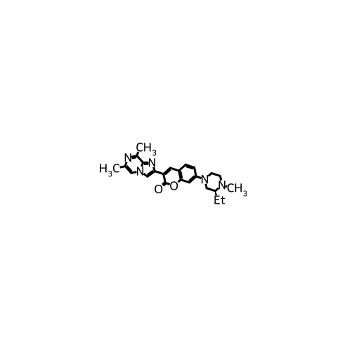 CC[C@H]1CN(c2ccc3cc(-c4cn5cc(C)nc(C)c5n4)c(=O)oc3c2)CCN1C